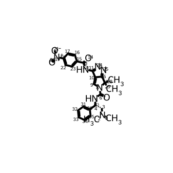 CN(C)C[C@@H](NC(=O)N1C=C2C(NC(=O)c3ccc([N+](=O)[O-])cc3)=NN=C2C1(C)C)c1ccccc1